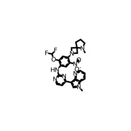 CN1CCCC12CN(c1cc(OC(F)F)c(Nc3nccc(-c4cn(C)c5cccnc45)n3)cc1[N+](=O)[O-])C2